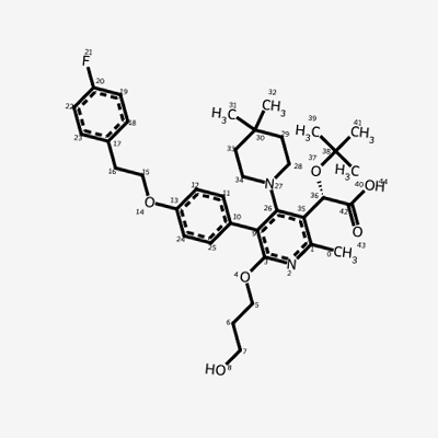 Cc1nc(OCCCO)c(-c2ccc(OCCc3ccc(F)cc3)cc2)c(N2CCC(C)(C)CC2)c1[C@H](OC(C)(C)C)C(=O)O